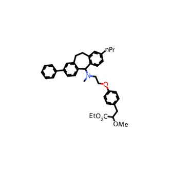 CCCc1ccc2c(c1)CCc1cc(-c3ccccc3)ccc1C2N(C)CCOc1ccc(CC(OC)C(=O)OCC)cc1